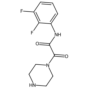 O=C(Nc1cccc(F)c1F)C(=O)N1CCNCC1